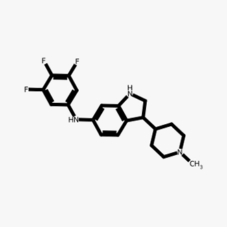 CN1CCC(C2CNc3cc(Nc4cc(F)c(F)c(F)c4)ccc32)CC1